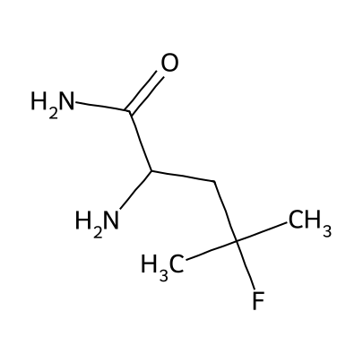 CC(C)(F)CC(N)C(N)=O